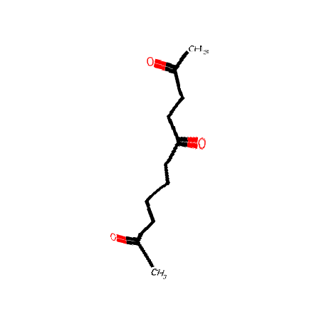 CC(=O)CCCCC(=O)CCC(C)=O